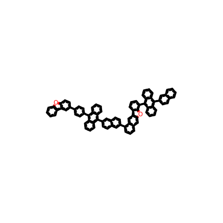 c1ccc2cc(-c3c4ccccc4c(-c4cccc5c4oc4cc6cccc(-c7ccc8cc(-c9c%10ccccc%10c(-c%10ccc(-c%11ccc%12oc%13ccccc%13c%12c%11)cc%10)c%10ccccc9%10)ccc8c7)c6cc45)c4ccccc34)ccc2c1